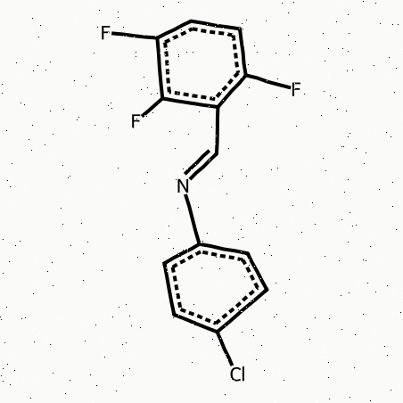 Fc1ccc(F)c(/C=N/c2ccc(Cl)cc2)c1F